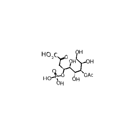 CC(=O)O[C@@H]([C@H](O)[C@H](O)[C@H](CC(=O)C(=O)O)OP(=O)(O)O)[C@H](O)CO